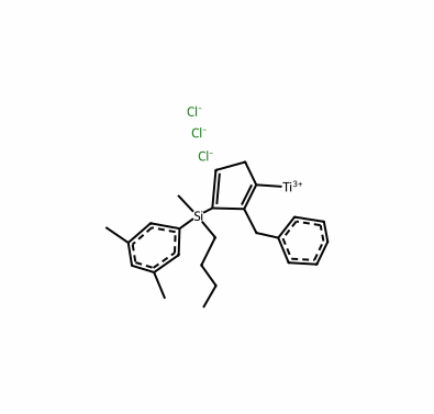 CCCC[Si](C)(C1=CC[C]([Ti+3])=C1Cc1ccccc1)c1cc(C)cc(C)c1.[Cl-].[Cl-].[Cl-]